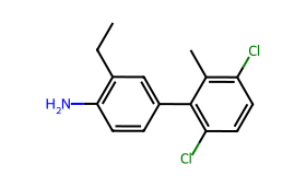 CCc1cc(-c2c(Cl)ccc(Cl)c2C)ccc1N